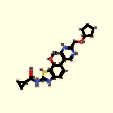 CCOc1c(-c2cnc(COC3CCCC3)nc2)ccc2nc(NC(=O)C3CC3)sc12